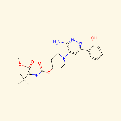 COC(=O)[C@@H](NC(=O)OC1CCN(c2cc(-c3ccccc3O)nnc2N)CC1)C(C)(C)C